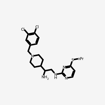 CCCSc1ccnc(NCC(N)C2CCN(Cc3ccc(Cl)c(Cl)c3)CC2)n1